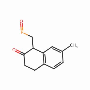 Cc1ccc2c(c1)C(CP=O)C(=O)CC2